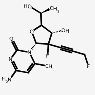 Cc1cc(N)nc(=O)n1[C@@H]1OC([C@H](C)O)[C@H](O)C1(F)C#CCF